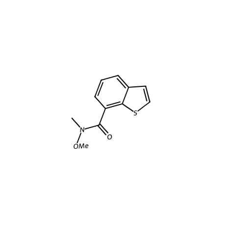 CON(C)C(=O)c1cccc2ccsc12